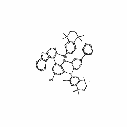 Cc1cc2c(cc1N1c3ccc(-c4ccccc4)cc3Bc3c(-c4c(Nc5ccc6c(c5)C(C)(C)CCC6(C)C)ccc5oc6ccccc6c45)cc(C(C)(C)C)cc31)C(C)(C)CCC2(C)C